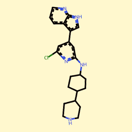 Clc1cc(-c2c[nH]c3ncccc23)cc(NC2CCC(C3CCNCC3)CC2)n1